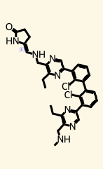 CCc1nc(-c2cccc(-c3cccc(-c4cnc(CN/C=C5\CCC(=O)N5)c(CC)n4)c3Cl)c2Cl)cnc1CNC